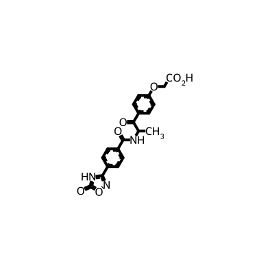 CC(NC(=O)c1ccc(-c2noc(=O)[nH]2)cc1)C(=O)c1ccc(OCC(=O)O)cc1